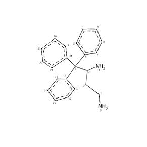 NCCC(N)C(c1ccccc1)(c1ccccc1)c1ccccc1